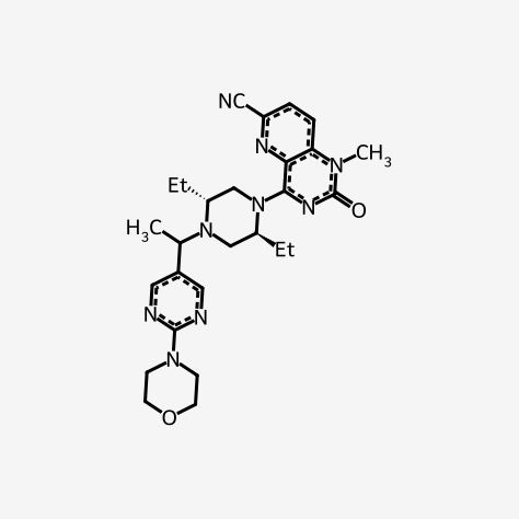 CC[C@H]1CN(C(C)c2cnc(N3CCOCC3)nc2)[C@H](CC)CN1c1nc(=O)n(C)c2ccc(C#N)nc12